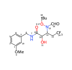 COc1cccc(CNC(=O)C(O)C(CC(F)(F)F)N(C=O)OC(C)(C)C)c1